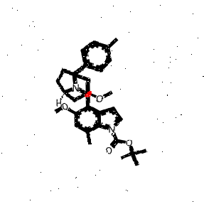 COc1cc(C)c2c(ccn2C(=O)OC(C)(C)C)c1CN1[C@@H]2CCC1(c1ccc(C)cc1)C[C@@H](OC)C2